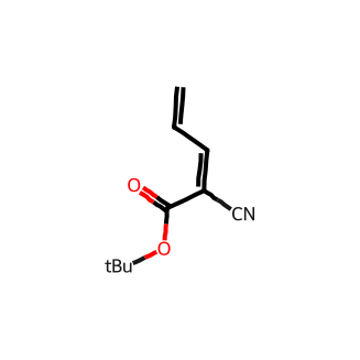 C=CC=C(C#N)C(=O)OC(C)(C)C